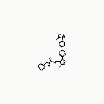 Cc1noc(-c2ccc(-c3ccc(C4(C(=O)O)CC4)cc3)cc2)c1CNC(=O)NCc1ccccc1